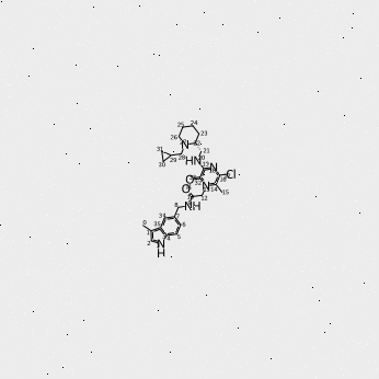 Cc1c[nH]c2ccc(CNC(=O)Cn3c(C)c(Cl)nc(NC[C@H]4CCCCN4CC4CC4)c3=O)cc12